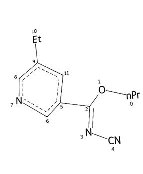 CCCOC(=NC#N)c1cncc(CC)c1